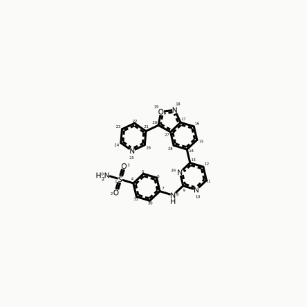 NS(=O)(=O)c1ccc(Nc2nccc(-c3ccc4noc(-c5cccnc5)c4c3)n2)cc1